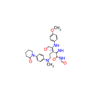 COc1ccc(N/C(C=O)=C(/CCN(C)c2ccc(N3CCCCC3=O)cc2)C(=N)C(=O)NC=O)cc1